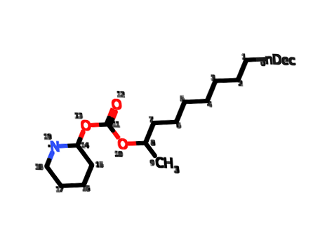 CCCCCCCCCCCCCCCCCC(C)OC(=O)OC1CCCC[N]1